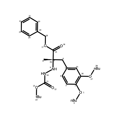 CCCCOc1ccc(C[C@](C)(NNC(=O)OC(C)(C)C)C(=O)OCc2ccccc2)cc1OCCCC